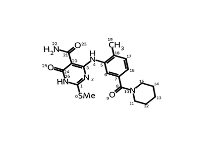 CSc1nc(Nc2cc(C(=O)N3CCCCC3)ccc2C)c(C(N)=O)c(=O)[nH]1